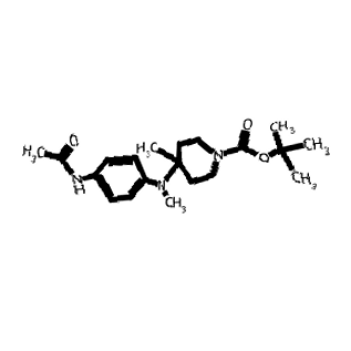 CC(=O)Nc1ccc(N(C)C2(C)CCN(C(=O)OC(C)(C)C)CC2)cc1